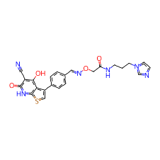 N#Cc1c(O)c2c(-c3ccc(C=NOCC(=O)NCCCn4ccnc4)cc3)csc2[nH]c1=O